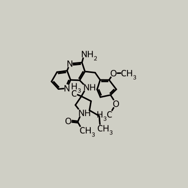 CCCCC(C)(CNC(C)=O)Nc1c(Cc2ccc(OC)cc2OC)c(N)nc2cccnc12